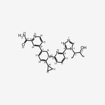 CC(O)C(C)n1cnnc1-c1cccc(N2CC(c3ccnc(C(N)=O)c3)=CC=C2C2CC2)n1